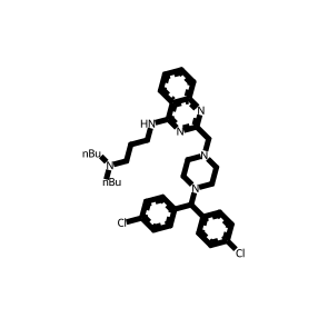 CCCCN(CCCC)CCCNc1nc(CN2CCN(C(c3ccc(Cl)cc3)c3ccc(Cl)cc3)CC2)nc2ccccc12